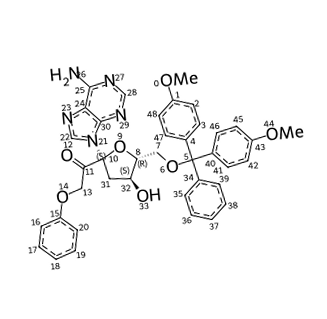 COc1ccc(C(OC[C@H]2O[C@@](C(=O)COc3ccccc3)(n3cnc4c(N)ncnc43)C[C@@H]2O)(c2ccccc2)c2ccc(OC)cc2)cc1